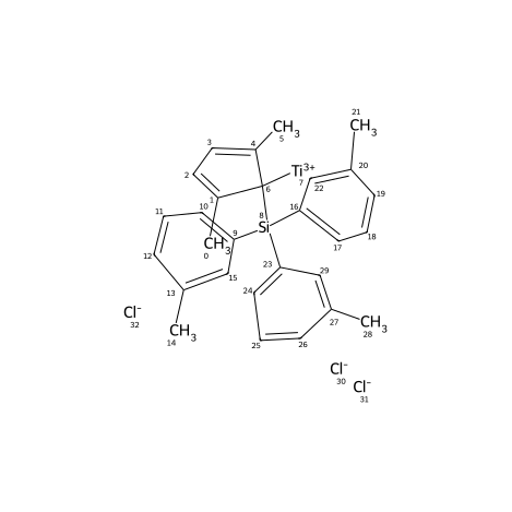 CC1=CC=C(C)[C]1([Ti+3])[Si](c1cccc(C)c1)(c1cccc(C)c1)c1cccc(C)c1.[Cl-].[Cl-].[Cl-]